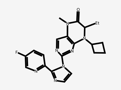 CCC1C(=O)N(C)c2cnc(-n3ccnc3-c3ccc(F)cn3)nc2N1C1CCC1